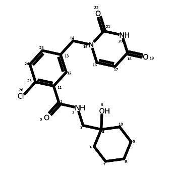 O=C(NCC1(O)CCCCC1)c1cc(Cn2ccc(=O)[nH]c2=O)ccc1Cl